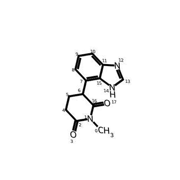 CN1C(=O)CCC(c2cccc3nc[nH]c23)C1=O